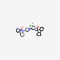 O=C(NC1CCN(CCCCC2(C(=O)NCC(F)(F)F)c3ccccc3-c3ccccc32)CC1)c1ncccc1C1CCCCC1